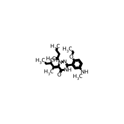 C=C(CCC)N1N=C(c2cc(NC)ccc2OCC)NC(=O)/C1=C(\C)C(C)CC